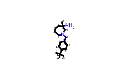 CC1(N)CCCCN(Cc2ccc(C(C)(C)C)cc2)C1